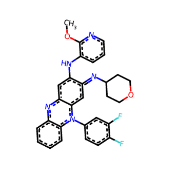 COc1ncccc1Nc1cc2nc3ccccc3n(-c3ccc(F)c(F)c3)c-2cc1=NC1CCOCC1